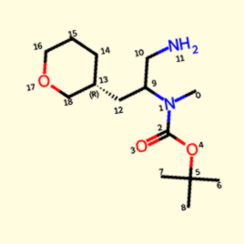 CN(C(=O)OC(C)(C)C)C(CN)C[C@H]1CCCOC1